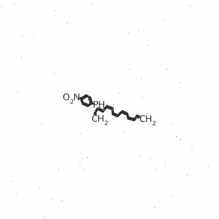 C=C\C=C/C=C\C=C/C=C\C=C(\C=C)Pc1ccc([N+](=O)[O-])cc1